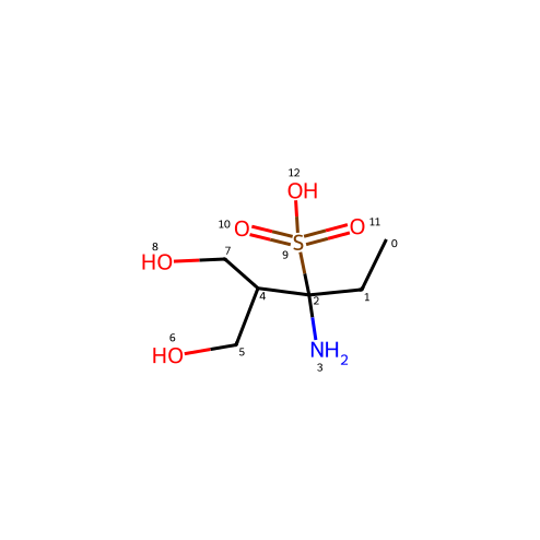 CCC(N)(C(CO)CO)S(=O)(=O)O